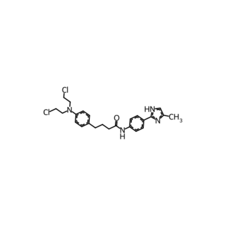 Cc1c[nH]c(-c2ccc(NC(=O)CCCc3ccc(N(CCCl)CCCl)cc3)cc2)n1